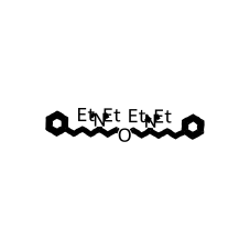 CCN(CC)C(CCCc1ccccc1)CCOCCC(CCCc1ccccc1)N(CC)CC